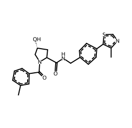 Cc1cccc(C(=O)N2C[C@H](O)CC2C(=O)NCc2ccc(-c3scnc3C)cc2)c1